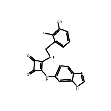 O=c1c(NCc2cccc(O)c2F)c(Nc2ccc3nc[nH]c3c2)c1=O